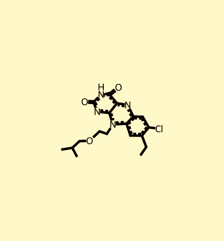 CCc1cc2c(cc1Cl)nc1c(=O)[nH]c(=O)nc-1n2CCOCC(C)C